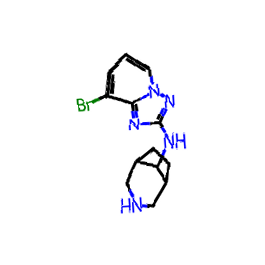 Brc1cccn2nc(NC3C4CCC3CNC4)nc12